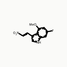 COc1cc(F)cc2[nH]cc(/C=C/[N+](=O)[O-])c12